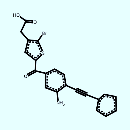 Nc1cc(C(=O)c2cc(CC(=O)O)c(Br)s2)ccc1C#Cc1ccccc1